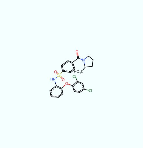 O=C(O)[C@@H]1CCCN1C(=O)c1ccc(S(=O)(=O)Nc2ccccc2Oc2ccc(Cl)cc2Cl)cc1